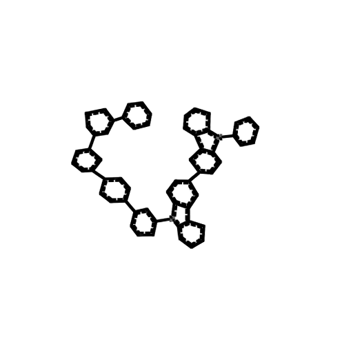 c1ccc(-c2cccc(-c3cccc(-c4ccc(-c5cccc(-n6c7ccccc7c7cc(-c8ccc9c(c8)c8ccccc8n9-c8ccccc8)ccc76)c5)cc4)c3)c2)cc1